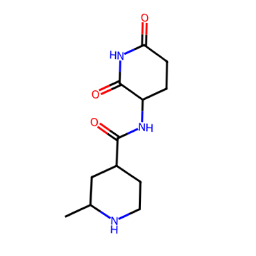 CC1CC(C(=O)NC2CCC(=O)NC2=O)CCN1